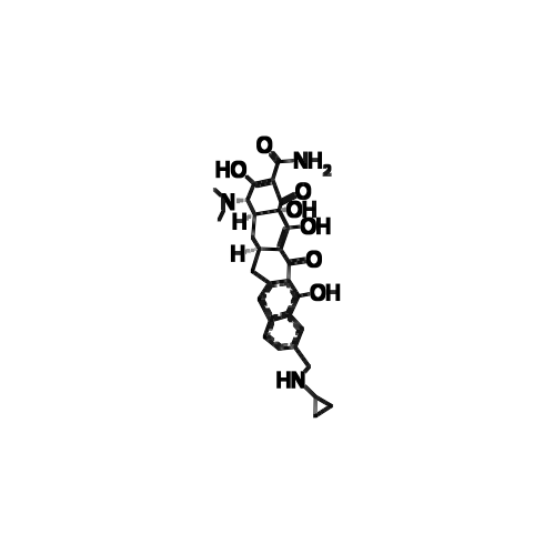 CN(C)[C@@H]1C(O)=C(C(N)=O)C(=O)[C@@]2(O)C(O)=C3C(=O)c4c(cc5ccc(CNC6CC6)cc5c4O)C[C@H]3C[C@@H]12